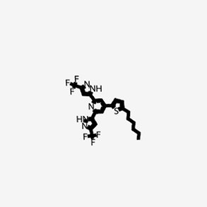 CCCCCCc1ccc(-c2cc(-c3cc(C(F)(F)F)n[nH]3)nc(-c3cc(C(F)(F)F)n[nH]3)c2)s1